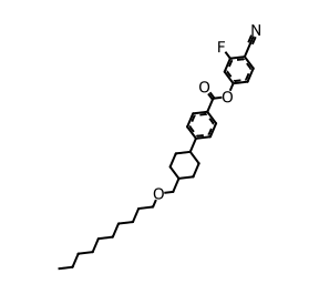 CCCCCCCCCCOCC1CCC(c2ccc(C(=O)Oc3ccc(C#N)c(F)c3)cc2)CC1